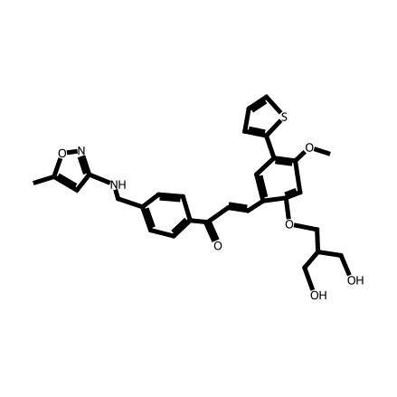 COc1cc(OCC(CO)CO)c(/C=C/C(=O)c2ccc(CNc3cc(C)on3)cc2)cc1-c1cccs1